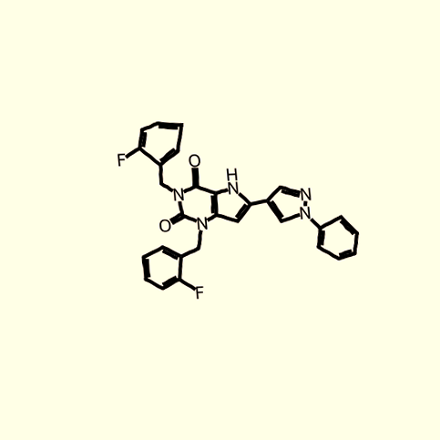 O=c1c2[nH]c(-c3cnn(-c4ccccc4)c3)cc2n(Cc2ccccc2F)c(=O)n1Cc1ccccc1F